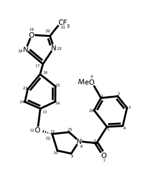 COc1cccc(C(=O)N2CC[C@H](Oc3ccc(-c4noc(C(F)(F)F)n4)cc3)C2)c1